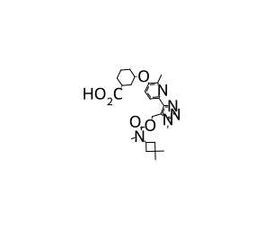 Cc1nc(-c2nnn(C)c2COC(=O)N(C)C2CC(C)(C)C2)ccc1O[C@H]1CCC[C@@H](C(=O)O)C1